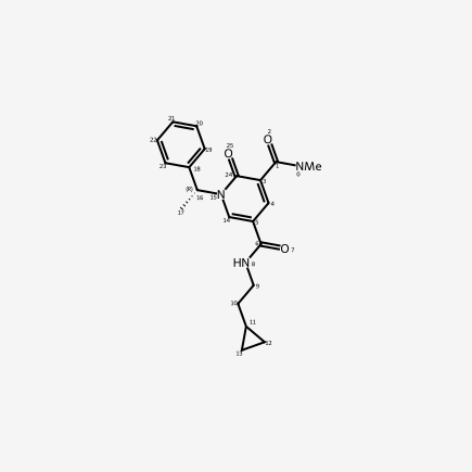 CNC(=O)c1cc(C(=O)NCCC2CC2)cn([C@H](C)c2ccccc2)c1=O